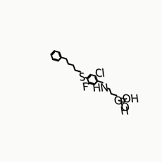 O=[PH](O)OCCCNCc1cc(F)c(SCCCCCc2ccccc2)cc1Cl